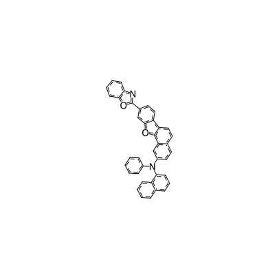 c1ccc(N(c2ccc3ccc4c5ccc(-c6nc7ccccc7o6)cc5oc4c3c2)c2cccc3ccccc23)cc1